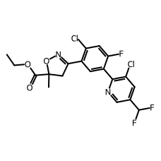 CCOC(=O)C1(C)CC(c2cc(-c3ncc(C(F)F)cc3Cl)c(F)cc2Cl)=NO1